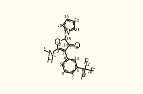 CNC1=C(c2cccc(C(F)(F)F)c2)C(=O)C(n2cccc2)O1